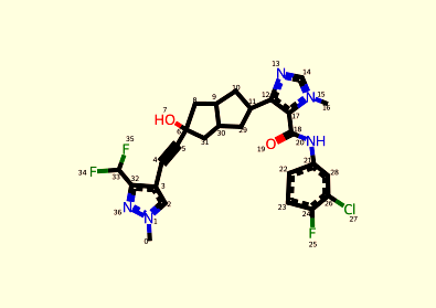 Cn1cc(C#CC2(O)CC3CC(c4ncn(C)c4C(=O)Nc4ccc(F)c(Cl)c4)CC3C2)c(C(F)F)n1